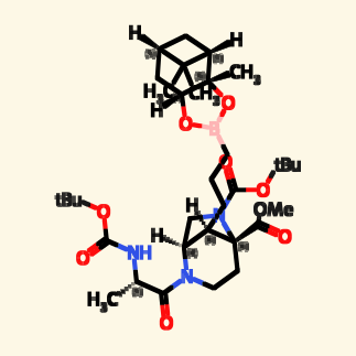 COC(=O)[C@]12CCN(C(=O)[C@H](C)NC(=O)OC(C)(C)C)[C@@H](CN1C(=O)OC(C)(C)C)[C@H]2CCCB1O[C@@H]2C[C@@H]3C[C@@H](C3(C)C)[C@]2(C)O1